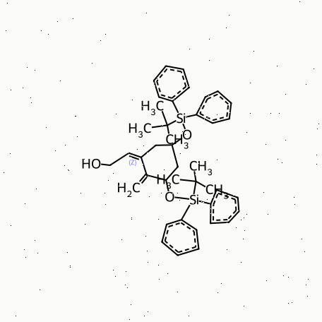 C=C1/C(=C\CO)CC(O[Si](c2ccccc2)(c2ccccc2)C(C)(C)C)CC1O[Si](c1ccccc1)(c1ccccc1)C(C)(C)C